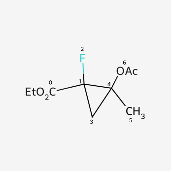 CCOC(=O)C1(F)CC1(C)OC(C)=O